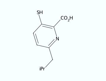 CC(C)Cc1ccc(S)c(C(=O)O)n1